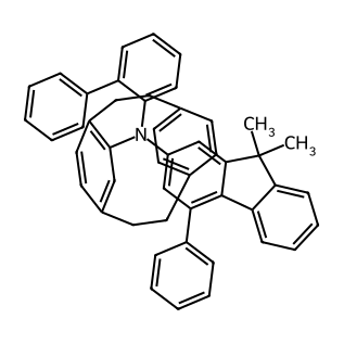 CC1(C)c2ccccc2-c2c(-c3ccccc3)cc(N(c3cc4ccc3CCc3ccc(cc3)CC4)c3ccccc3-c3ccccc3)cc21